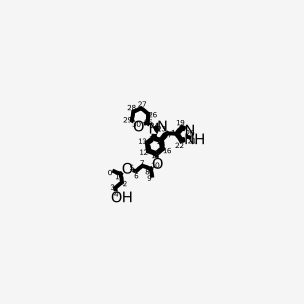 CC(CCO)OCCC(C)Oc1ccc2c(c1)c(-c1cn[nH]c1)nn2C1CCCCO1